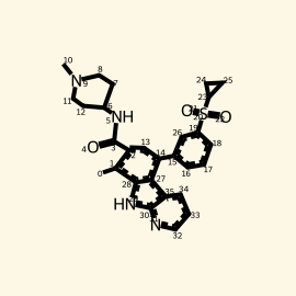 Cc1c(C(=O)NC2CCN(C)CC2)cc(-c2cccc(S(=O)(=O)C3CC3)c2)c2c1[nH]c1ncccc12